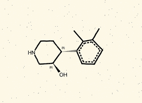 Cc1cccc([C@H]2CCNC[C@@H]2O)c1C